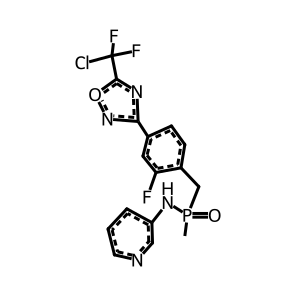 CP(=O)(Cc1ccc(-c2noc(C(F)(F)Cl)n2)cc1F)Nc1cccnc1